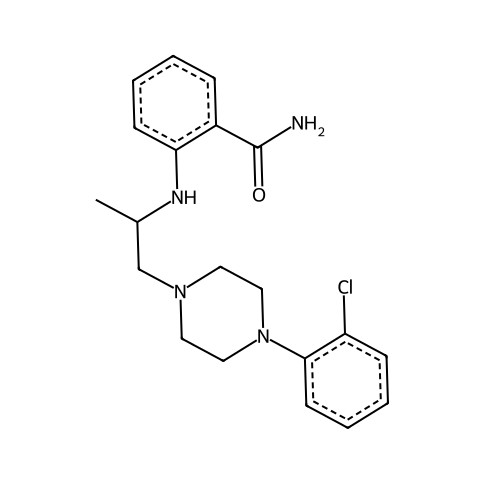 CC(CN1CCN(c2ccccc2Cl)CC1)Nc1ccccc1C(N)=O